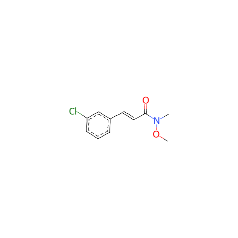 CON(C)C(=O)/C=C/c1cccc(Cl)c1